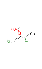 CC(=O)O.ClCCCCC(Cl)[CH2][Co]